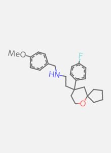 COc1ccc(CNCCC2(c3ccc(F)cc3)CCOC3(CCCC3)C2)cc1